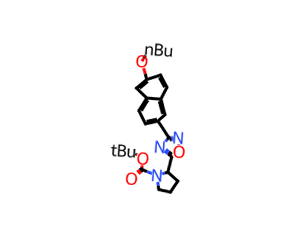 CCCCOc1ccc2cc(-c3noc(C4CCCN4C(=O)OC(C)(C)C)n3)ccc2c1